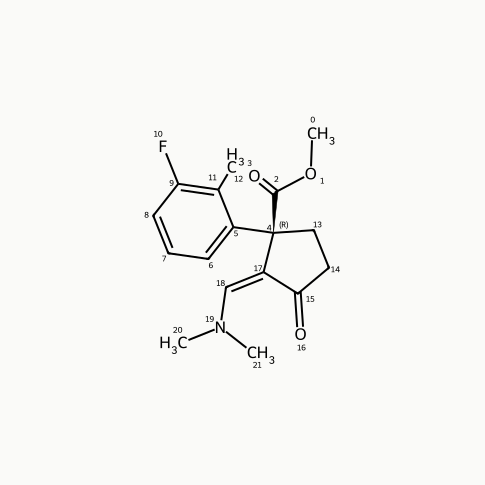 COC(=O)[C@@]1(c2cccc(F)c2C)CCC(=O)C1=CN(C)C